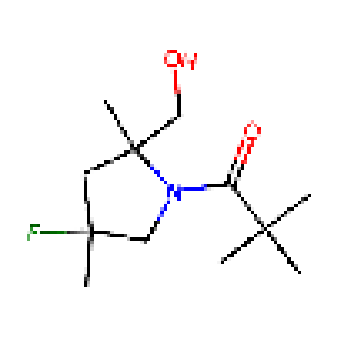 CC1(F)CN(C(=O)C(C)(C)C)C(C)(CO)C1